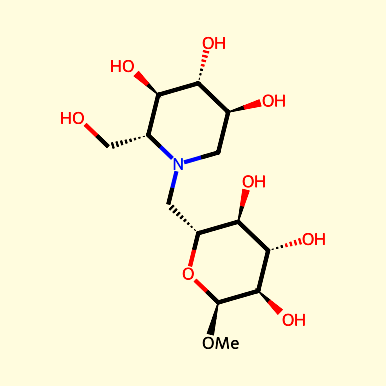 CO[C@H]1O[C@H](CN2C[C@H](O)[C@@H](O)[C@H](O)[C@H]2CO)[C@@H](O)[C@H](O)[C@H]1O